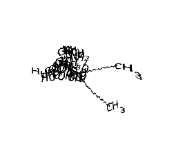 CCCCCCCCCCCCCCCC(=O)OC[C@H](COP(=O)(O)OCCNC(=O)[C@H](C)N(CC(C)O[C@H]1[C@H](O)[C@@H](CO)O[C@H](O)[C@@H]1NC(C)=O)C(=O)CC[C@@H](NC(=O)[C@H](C)N)C(N)=O)OC(=O)CCCCCCCCCCCCCCC